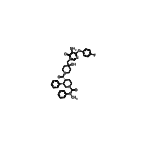 CN(C(=O)N1CC[C@@H](C(=O)N2CCC(O)(Cn3cnc(Oc4ccc(F)cc4)c(N)c3=O)CC2)[C@H](c2ccccc2)C1)c1ccccc1